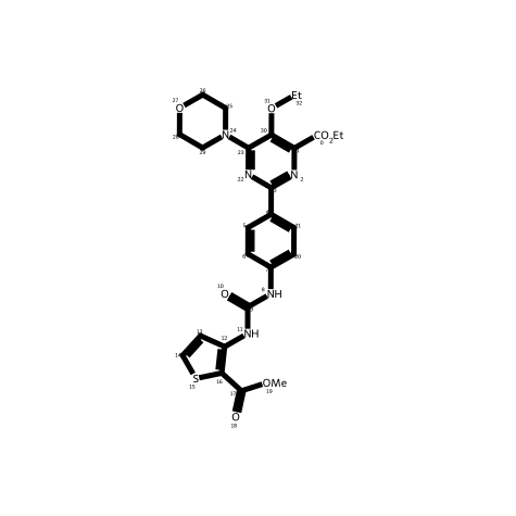 CCOC(=O)c1nc(-c2ccc(NC(=O)Nc3ccsc3C(=O)OC)cc2)nc(N2CCOCC2)c1OCC